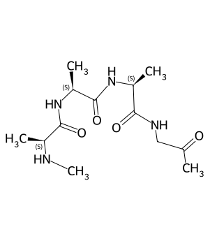 CN[C@@H](C)C(=O)N[C@@H](C)C(=O)N[C@@H](C)C(=O)NCC(C)=O